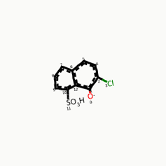 [O]c1c(Cl)ccc2cccc(S(=O)(=O)O)c12